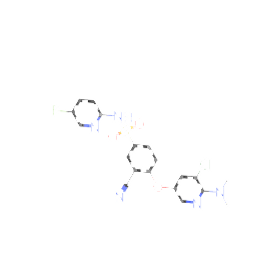 CN(C)c1ncc(Oc2ccc(S(=O)(=O)Nc3ccc(F)cn3)cc2C#N)cc1Cl